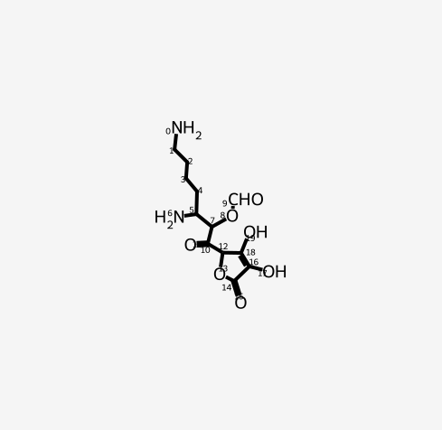 NCCCCC(N)C(OC=O)C(=O)C1OC(=O)C(O)=C1O